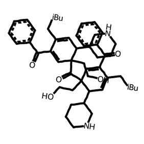 CCC(C)CC1=CC(C2CCCNC2)C(CCO)(C(=O)C2(CCO)C=C(C(=O)c3ccccc3)C(CC(C)CC)=CC2C2CCCNC2)C=C1C(=O)c1ccccc1